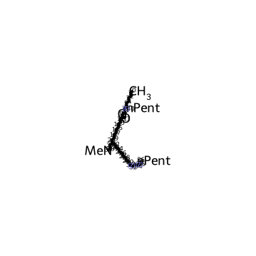 CC=CCCC/C(=C/COC(=O)CCCCCCCCCC(CCCCCCCCC/C=C\C/C=C\CCCCC)CCNC)CCCCC